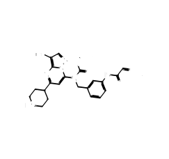 C=CC(=O)Nc1cccc(CN(C(=O)OC(C)(C)C)c2cc(C3CCNCC3)nc3c(C(C)C)cnn23)c1